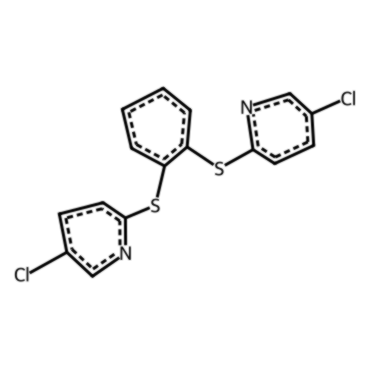 Clc1ccc(Sc2ccccc2Sc2ccc(Cl)cn2)nc1